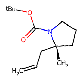 C=CC[C@@]1(C)CCCN1C(=O)OC(C)(C)C